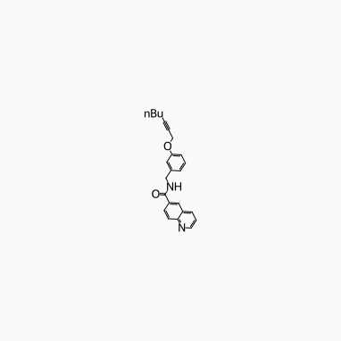 CCCCC#CCOc1cccc(CNC(=O)c2ccc3ncccc3c2)c1